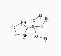 CCO[Si](OCC)(OCC)C1NCCN1